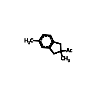 CC(=O)C1(C)Cc2ccc(C)cc2C1